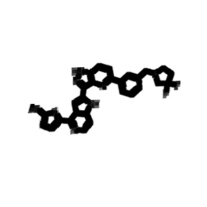 CC(=O)c1ccc(-c2nccc3[nH]c(-c4n[nH]c5ccc(-c6cccc(CN7CCC(F)(F)C7)c6)nc45)cc23)s1